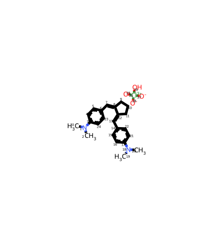 CN(C)c1ccc(C=C2CCCC2=Cc2ccc(N(C)C)cc2)cc1.[O-][Cl+3]([O-])([O-])O